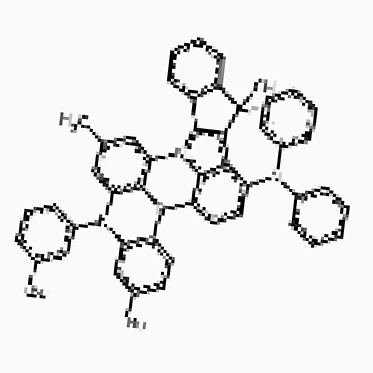 Cc1cc2c3c(c1)-n1c4c(c5c(N(c6ccccc6)c6ccccc6)ccc(c51)B3c1ccc(C(C)(C)C)cc1N2c1cccc(C(C)(C)C)c1)C(C)(C)c1ccccc1-4